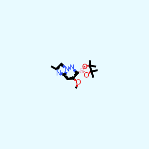 COc1cc2nc(C)cn2nc1B1OC(C)(C)C(C)(C)O1